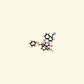 CC12CCC(CCOc3cccc(F)c3)(O1)[C@H]1C(=O)N(c3ccc(C#N)c4ccccc34)C(=O)[C@H]12